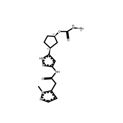 CC[C@H](C)NC(=O)O[C@@H]1CC[C@H](c2cc(NC(=O)Cc3ccnn3C)n[nH]2)C1